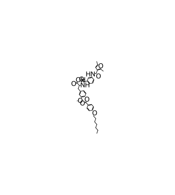 CCCCCCCOc1ccc(C(=O)Oc2ccc(CC(NC(=O)c3cccc(NC(=O)c4cc(C)oc4C)c3)C(=O)O)cc2OC)cc1